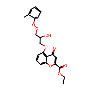 CCOC(=O)c1cc(=O)c2c(OCC(O)COOc3ccccc3C)cccc2o1